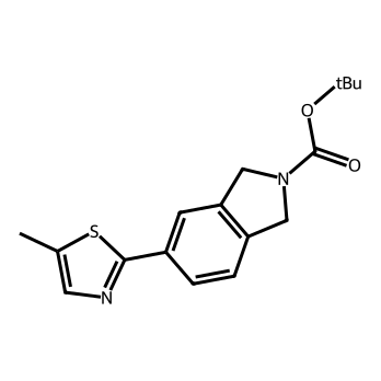 Cc1cnc(-c2ccc3c(c2)CN(C(=O)OC(C)(C)C)C3)s1